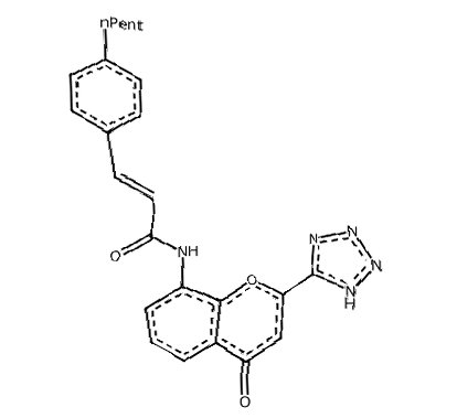 CCCCCc1ccc(C=CC(=O)Nc2cccc3c(=O)cc(-c4nnn[nH]4)oc23)cc1